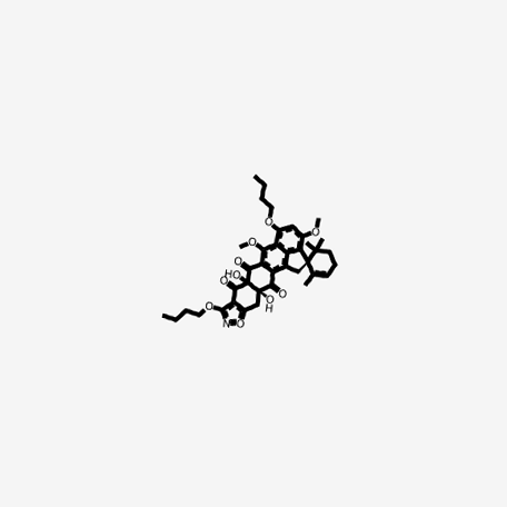 CCCCOc1noc2c1C(=O)C1(O)C(=O)c3c(c4c5c(c(OC)cc(OCCCC)c5c3OC)[C@@]3(C4)C(C)=CCCC3(C)C)C(=O)[C@]1(O)C2